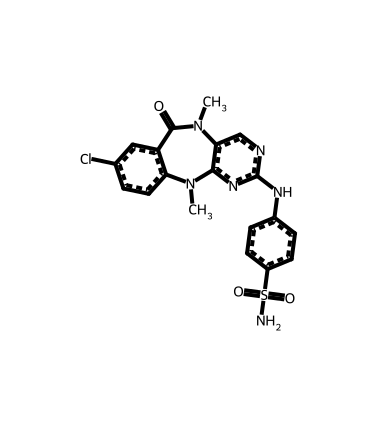 CN1C(=O)c2cc(Cl)ccc2N(C)c2nc(Nc3ccc(S(N)(=O)=O)cc3)ncc21